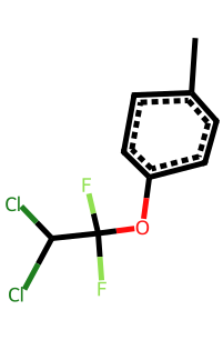 Cc1ccc(OC(F)(F)C(Cl)Cl)cc1